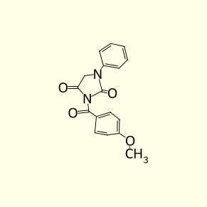 COc1ccc(C(=O)N2C(=O)CN(c3ccccc3)C2=O)cc1